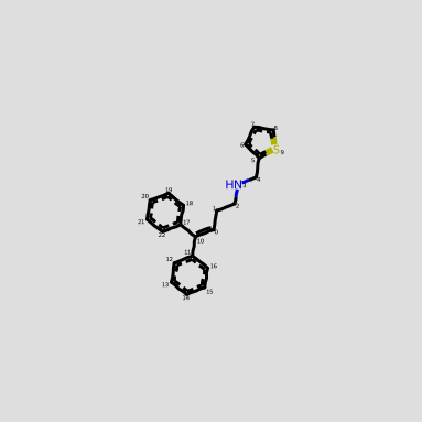 C(CCNCc1cccs1)=C(c1ccccc1)c1ccccc1